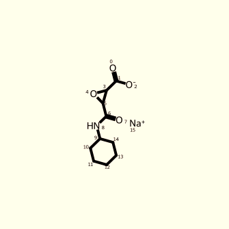 O=C([O-])C1OC1C(=O)NC1CCCCC1.[Na+]